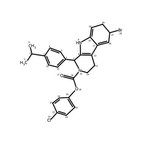 CC(C)c1ccc(C2c3[nH]c4c(c3CCN2C(=O)Oc2ccc(Cl)cc2)=CC(Br)CC=4)cc1